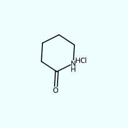 Cl.O=C1CCCCN1